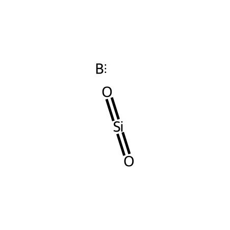 O=[Si]=O.[B]